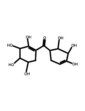 O=C(C1=C(O)C(O)C(O)C(O)C1)C1CC=C(O)C(O)C1O